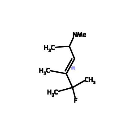 CNC(C)/C=C(\C)C(C)(C)F